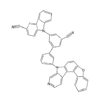 N#Cc1cc(-c2cccc(-n3c4cnccc4c4c5c(ccc43)oc3ccccc35)c2)cc(-n2c3ccccc3c3cc(C#N)ccc32)c1